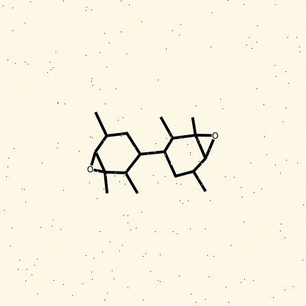 CC1CC(C2CC(C)C3OC3(C)C2C)C(C)C2(C)OC12